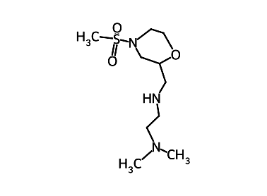 CN(C)CCNCC1CN(S(C)(=O)=O)CCO1